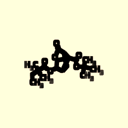 CCC(C)(C)C(=O)OC1C2CC3C1OC(=O)C3C2C(=O)OC(C)(C)C